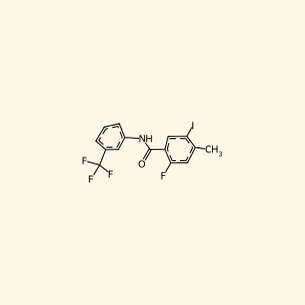 Cc1cc(F)c(C(=O)Nc2cccc(C(F)(F)F)c2)cc1I